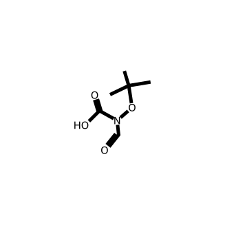 CC(C)(C)ON(C=O)C(=O)O